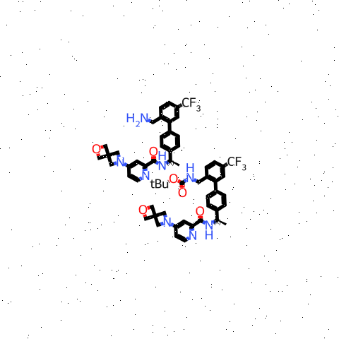 C[C@@H](NC(=O)c1cc(N2CC3(COC3)C2)ccn1)c1ccc(-c2cc(C(F)(F)F)ccc2CN)cc1.C[C@@H](NC(=O)c1cc(N2CC3(COC3)C2)ccn1)c1ccc(-c2cc(C(F)(F)F)ccc2CNC(=O)OC(C)(C)C)cc1